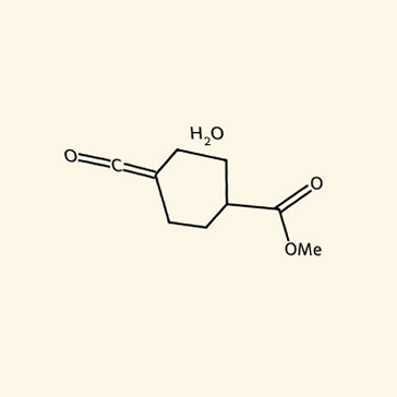 COC(=O)C1CCC(=C=O)CC1.O